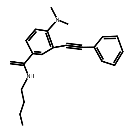 C=C(NCCCC)c1ccc(N(C)C)c(C#Cc2ccccc2)c1